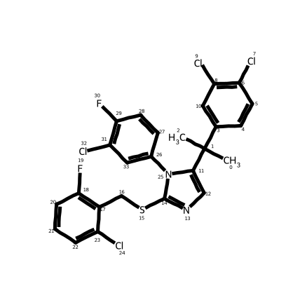 CC(C)(c1ccc(Cl)c(Cl)c1)c1cnc(SCc2c(F)cccc2Cl)n1-c1ccc(F)c(Cl)c1